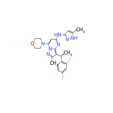 Cc1cc(Nc2cc(N3CCOCC3)n3nc(C)c([C@@H](C)c4ccc(F)cc4F)c3n2)n[nH]1